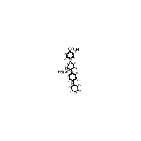 Br.Br.O=C(O)c1ccc(N2CCN(c3ccc(C4CCCCC4)cc3)CC2)cc1